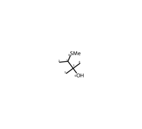 CSC(C)C(C)(C)O